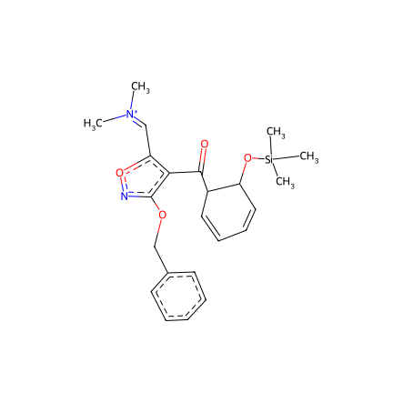 C[N+](C)=Cc1onc(OCc2ccccc2)c1C(=O)C1C=CC=CC1O[Si](C)(C)C